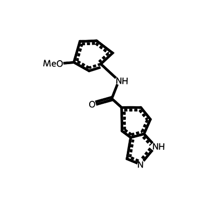 COc1cccc(NC(=O)c2ccc3[nH]ncc3c2)c1